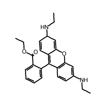 CCNc1ccc2c(c1)OC1=CC(NCC)C=CC1=C2c1ccccc1C(=O)OCC